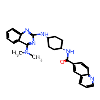 CN(C)c1nc(N[C@H]2CC[C@@H](NC(=O)c3ccc4ncccc4c3)CC2)nc2ccccc12